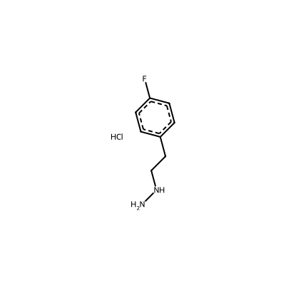 Cl.NNCCc1ccc(F)cc1